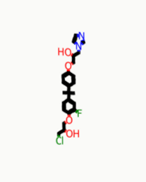 CC(C)(c1ccc(OCC(O)Cn2ccnc2)cc1)c1ccc(OCC(O)CCl)c(F)c1